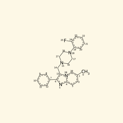 Cc1ccc2nc(-c3ccccc3)c(CN3CCN(c4ccccc4F)CC3)n2c1